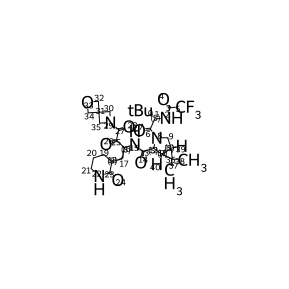 CC(C)(C)[C@H](NC(=O)C(F)(F)F)C(=O)N1C[C@H]2[C@@H]([C@H]1C(=O)N[C@@H](C[C@@H]1CCCNC1=O)C(=O)C(=O)N1CC3(COC3)C1)C2(C)C